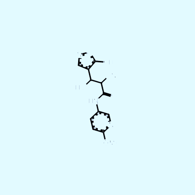 COc1ccc(NC(=O)C(C#N)C(O)c2cnoc2C)cn1